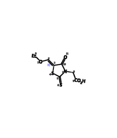 CCO/C=C1\SC(=S)N(CC(=O)O)C1=O